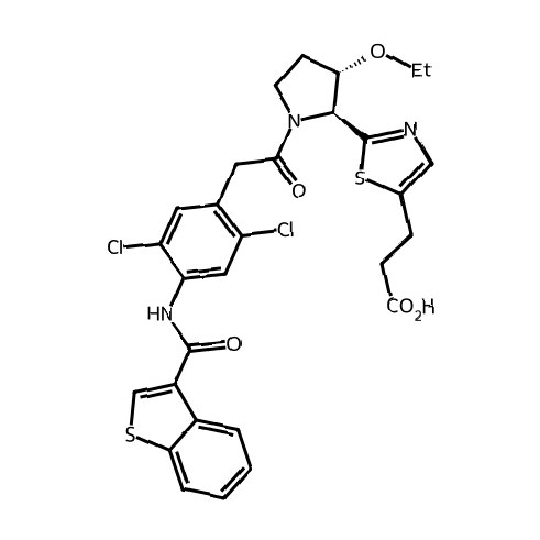 CCO[C@H]1CCN(C(=O)Cc2cc(Cl)c(NC(=O)c3csc4ccccc34)cc2Cl)[C@@H]1c1ncc(CCC(=O)O)s1